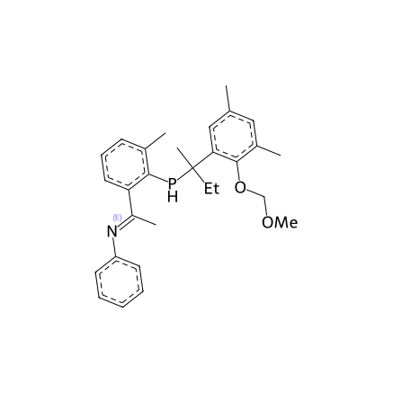 CCC(C)(Pc1c(C)cccc1/C(C)=N/c1ccccc1)c1cc(C)cc(C)c1OCOC